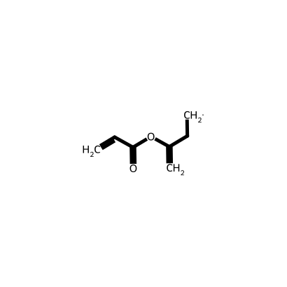 [CH2]CC(=C)OC(=O)C=C